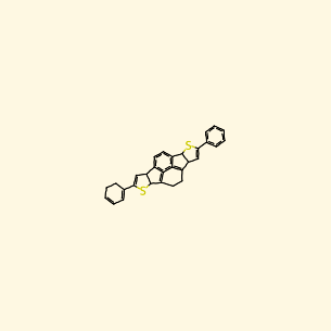 C1=CCCC(C2=CC3c4ccc5c6c4=C(CCC=6C4C=C(c6ccccc6)SC54)C3S2)=C1